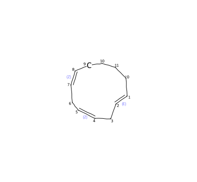 [CH]1/C=C/C/C=C\C/C=C\CCC1